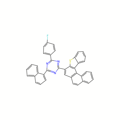 Fc1ccc(-c2nc(-c3cccc4ccccc34)nc(-c3cc4ccc5ccccc5c4c4c3sc3ccccc34)n2)cc1